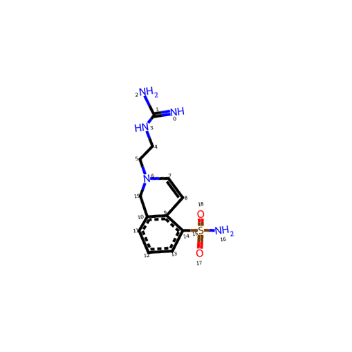 N=C(N)NCCN1C=Cc2c(cccc2S(N)(=O)=O)C1